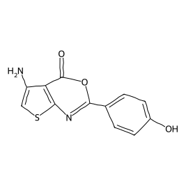 Nc1csc2nc(-c3ccc(O)cc3)oc(=O)c12